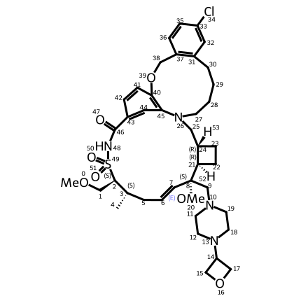 COC[C@@H]1[C@@H](C)C/C=C/[C@@](CN2CCN(C3COC3)CC2)(OC)[C@@H]2CC[C@H]2CN2CCCCc3cc(Cl)ccc3COc3ccc(cc32)C(=O)NS1(=O)=O